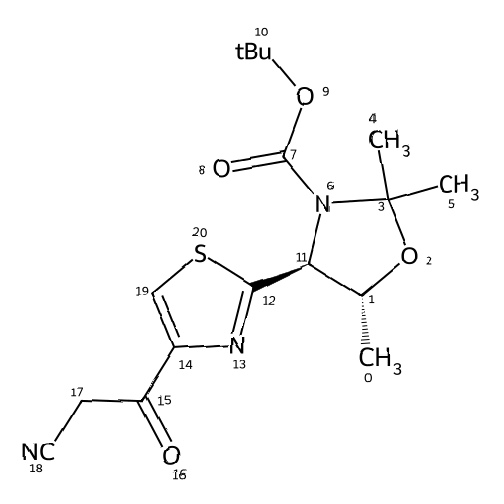 C[C@H]1OC(C)(C)N(C(=O)OC(C)(C)C)[C@@H]1c1nc(C(=O)CC#N)cs1